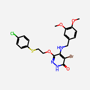 COc1ccc(CNc2c(OCCSc3ccc(Cl)cc3)n[nH]c(=O)c2Br)cc1OC